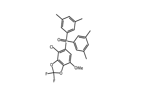 COc1cc(P(=O)(c2cc(C)cc(C)c2)c2cc(C)cc(C)c2)c(Cl)c2c1OC(F)(F)O2